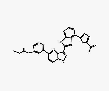 CCNCc1cncc(-c2ccc3[nH]nc(-c4nc5c(-c6ccc(C(C)=O)s6)cccc5[nH]4)c3n2)c1